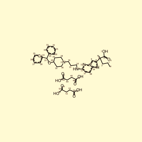 CCCC(C)(C(=O)O)c1cn2nc(NCCCN3CCC(OC(c4ccccc4)c4ccccc4)CC3)ccc2n1.O=C(O)CCC(=O)O.O=C(O)CCC(=O)O